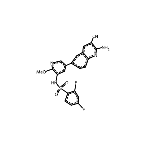 COc1ncc(-c2ccc3nc(N)c(C#N)cc3c2)cc1NS(=O)(=O)c1ccc(F)cc1F